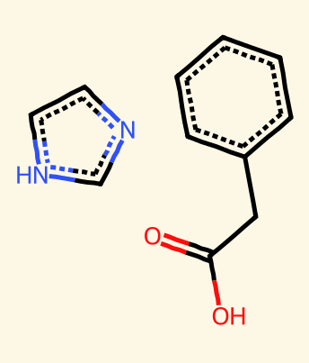 O=C(O)Cc1ccccc1.c1c[nH]cn1